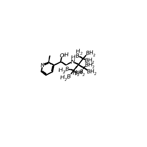 BC(B)(B)C(NCC(O)c1cccnc1C)(C(B)(B)B)C(B)(B)B